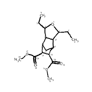 CCC1OC(CC)C2C3CC(C(C(=O)OC)C3C(=O)OC)C12